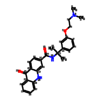 CN(C)CCOc1cccc(C(C)(C)NC(=O)c2ccc3c(=O)c4ccccc4[nH]c3c2)c1